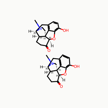 CN1CC[C@]23c4c5ccc(O)c4O[C@H]2C(=O)CC[C@H]3[C@H]1C5.CN1CC[C@]23c4c5ccc(O)c4O[C@H]2C(=O)CC[C@H]3[C@H]1C5